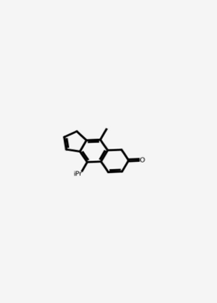 Cc1c2c(c(C(C)C)c3c1CC(=O)C=C3)C=CC2